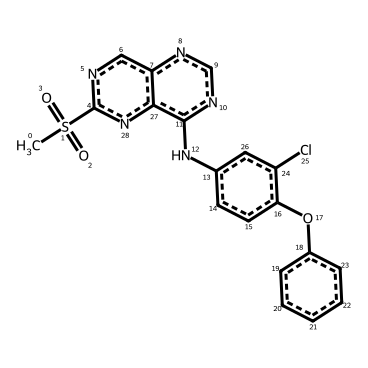 CS(=O)(=O)c1ncc2ncnc(Nc3ccc(Oc4ccccc4)c(Cl)c3)c2n1